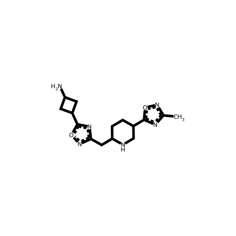 Cc1noc(C2CCC(Cc3noc(C4CC(N)C4)n3)NC2)n1